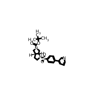 CC(C)(C)OC(=O)N1C[C@H]2CCN(S(=O)(=O)c3ccc(-c4cccnc4)cc3)[C@H]2C1